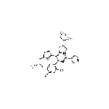 C=CC(C)[C@H]1CC2=C(C3=N/C(=C\C(C)F)C=C3)[C@H](c3ccc(F)cc3Cl)N=C(c3cccs3)N2C1